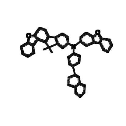 CC1(C)c2cc(N(c3ccc(-c4ccc5ccccc5c4)cc3)c3ccc4oc5ccccc5c4c3)ccc2-c2ccc3oc4ccccc4c3c21